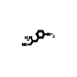 N#CC[C@@H](N)Cc1cccc(N)c1